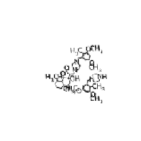 COc1cc(CN2CCN(CC3C(=O)O[C@H]4C5=C(C)CCC[C@]5(C)CCC34O)CC2)c(C)c(OC)c1.COc1cc(CN2CCNCC2)c(C)c(OC)c1